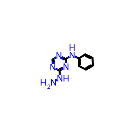 NNc1ncnc(Nc2ccccc2)n1